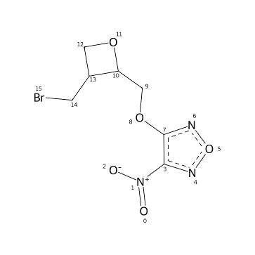 O=[N+]([O-])c1nonc1OCC1OCC1CBr